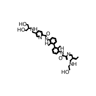 C=C(/N=C\C(=C/C)CNCCO)C(=O)Nc1cccc(-c2cccc(NC(=O)c3ccc(CNC(CO)CO)cn3)c2C)c1C